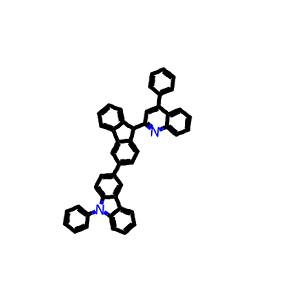 c1ccc(-c2cc(C3c4ccccc4-c4cc(-c5ccc6c(c5)c5ccccc5n6-c5ccccc5)ccc43)nc3ccccc23)cc1